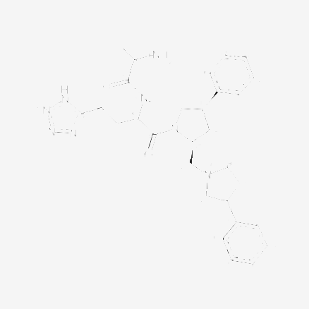 CC(N)C(=O)NC(CCc1nnn[nH]1)C(=O)N1C[C@@H](c2ccccc2)C[C@H]1CN1CCC(c2ccccc2)C1